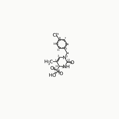 CC1=CN(Cc2ccc(Cl)cc2)C(=O)NC1S(=O)(=O)O